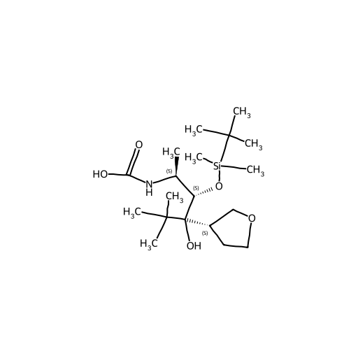 C[C@H](NC(=O)O)[C@H](O[Si](C)(C)C(C)(C)C)C(O)([C@H]1CCOC1)C(C)(C)C